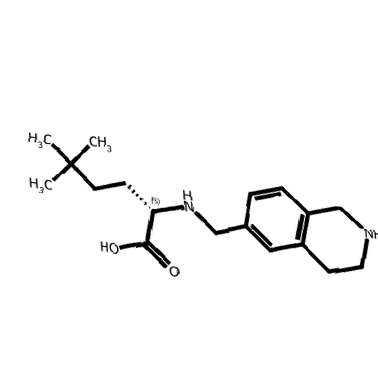 CC(C)(C)CC[C@H](NCc1ccc2c(c1)CCNC2)C(=O)O